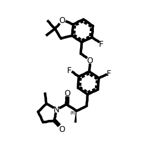 CC1CCC(=O)N1C(=O)[C@H](C)Cc1cc(F)c(OCc2c(F)ccc3c2CC(C)(C)O3)c(F)c1